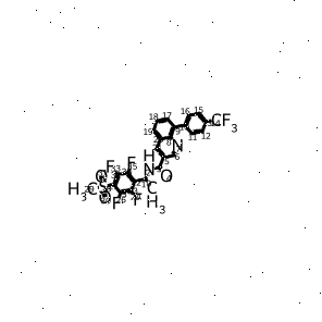 CC(NC(=O)c1cnc2c(-c3ccc(C(F)(F)F)cc3)cccc2c1)c1c(F)c(F)c(S(C)(=O)=O)c(F)c1F